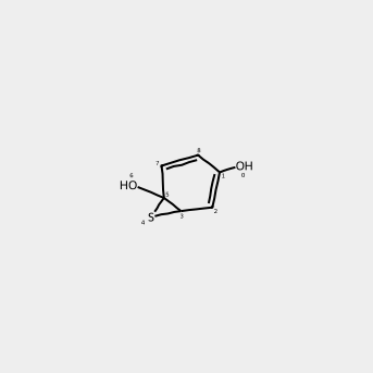 OC1=CC2SC2(O)C=C1